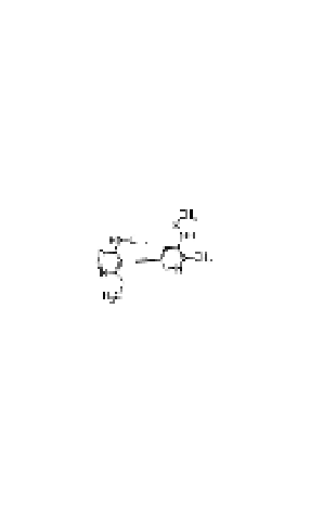 CCc1ncnc(NC)c1C#Cc1cnc(C)c(NSC)c1